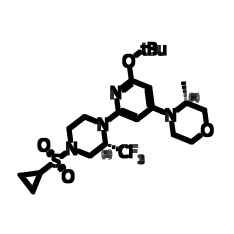 C[C@@H]1COCCN1c1cc(OC(C)(C)C)nc(N2CCN(S(=O)(=O)C3CC3)C[C@H]2C(F)(F)F)c1